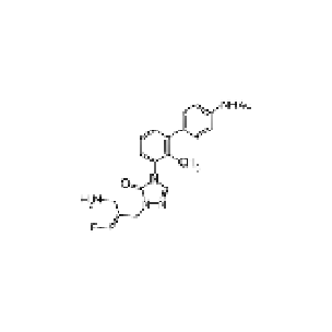 CC(=O)Nc1ccc(-c2cccc(-n3cnn(C/C(=C/F)CN)c3=O)c2C)cc1